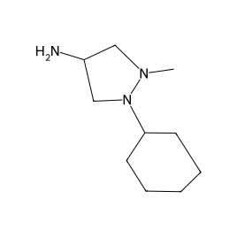 CN1CC(N)CN1C1CCCCC1